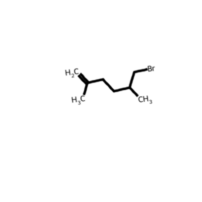 C=C(C)CCC(C)CBr